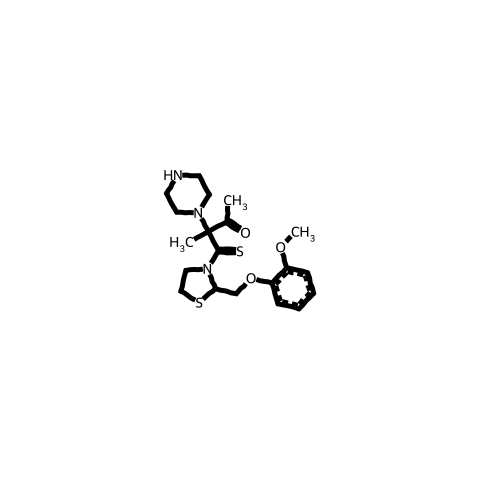 COc1ccccc1OCC1SCCN1C(=S)C(C)(C(C)=O)N1CCNCC1